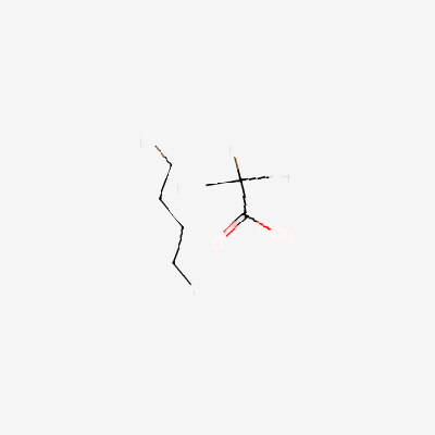 CC(C)(Br)C(=O)O.CCCCCBr